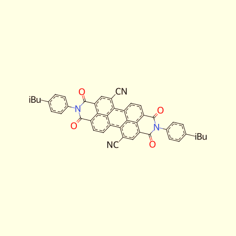 CCC(C)c1ccc(N2C(=O)c3ccc4c5c(C#N)cc6c7c(ccc(c8c(C#N)cc(c3c48)C2=O)c75)C(=O)N(c2ccc(C(C)CC)cc2)C6=O)cc1